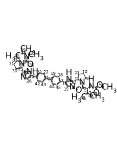 COC(=O)N[C@H](C(=O)N1CCC[C@H]1c1ncc(-c2ccc(-c3ccc(-c4cnc([C@@H]5CCCN5C(=O)N(C)C(C)C)[nH]4)cc3)cc2)[nH]1)C(C)C